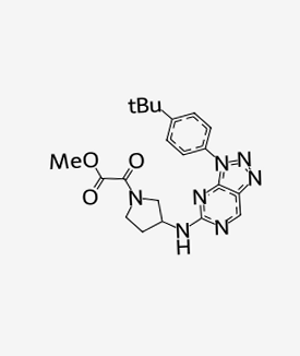 COC(=O)C(=O)N1CCC(Nc2ncc3nnn(-c4ccc(C(C)(C)C)cc4)c3n2)C1